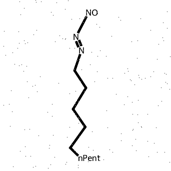 CCCCCCCCCCN=NN=O